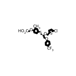 Cc1cc(SC[C@@H](COc2ccc(C(F)(F)F)cc2)OCc2ccc(Cl)s2)ccc1OCC(=O)O